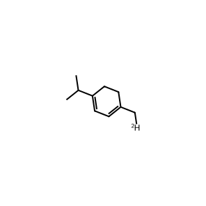 [2H]CC1=CC=C(C(C)C)CC1